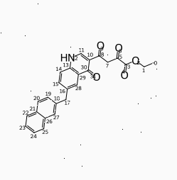 CCOC(=O)C(=O)CC(=O)c1c[nH]c2ccc(Cc3ccc4ccccc4c3)cc2c1=O